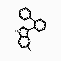 Fc1ccc2[nH]cc(-c3ccccc3-c3ccccc3)c2n1